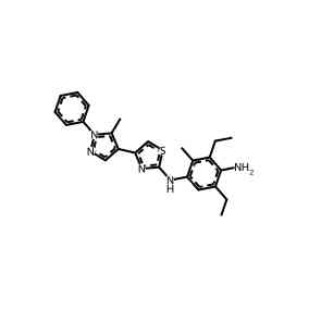 CCc1cc(Nc2nc(-c3cnn(-c4ccccc4)c3C)cs2)c(C)c(CC)c1N